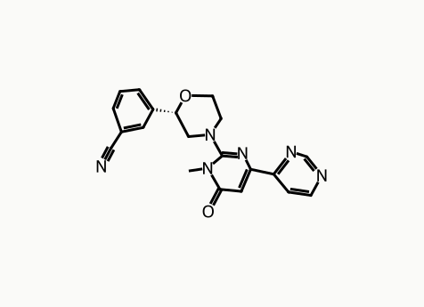 Cn1c(N2CCO[C@@H](c3cccc(C#N)c3)C2)nc(-c2ccncn2)cc1=O